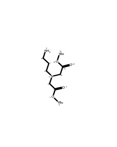 CC(C)(C)OC(=O)CN(CCCN)CC(=O)OC(C)(C)C